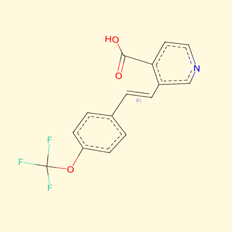 O=C(O)c1ccncc1/C=C/c1ccc(OC(F)(F)F)cc1